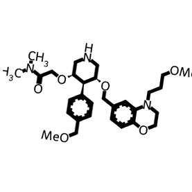 COCCCN1CCOc2ccc(CO[C@H]3CNC[C@@H](OCC(=O)N(C)C)[C@@H]3c3ccc(COC)cc3)cc21